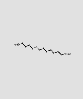 CCCCCCCCCC=CC=CCCCCCCCCCCCCCCCCCC